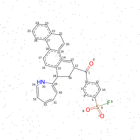 O=C(c1ccc(S(=O)(=O)F)cc1)C1C=c2c(ccc3c2=CCc2ccccc2-3)C(C2=CC=CC=CN2)C1